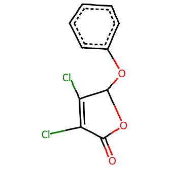 O=C1OC(Oc2ccccc2)C(Cl)=C1Cl